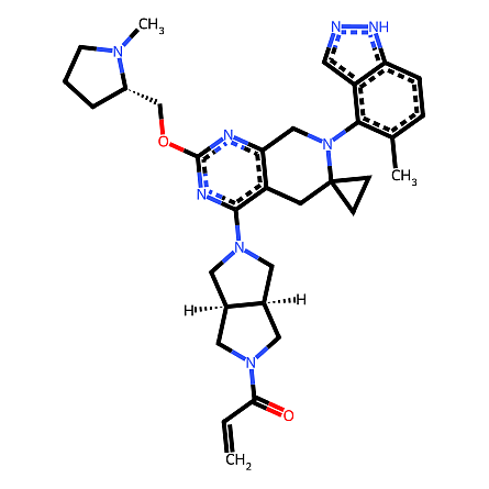 C=CC(=O)N1C[C@@H]2CN(c3nc(OC[C@@H]4CCCN4C)nc4c3CC3(CC3)N(c3c(C)ccc5[nH]ncc35)C4)C[C@@H]2C1